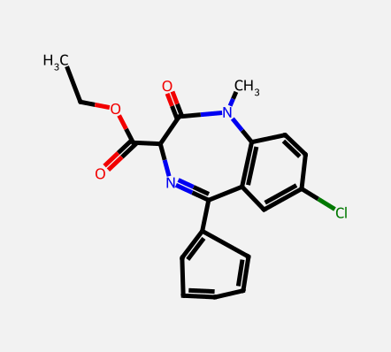 CCOC(=O)C1N=C(c2ccccc2)c2cc(Cl)ccc2N(C)C1=O